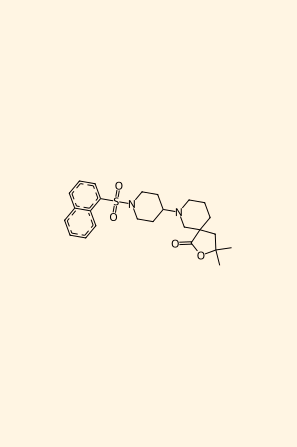 CC1(C)CC2(CCCN(C3CCN(S(=O)(=O)c4cccc5ccccc45)CC3)C2)C(=O)O1